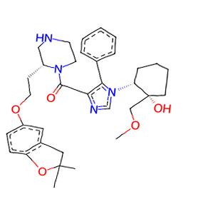 COC[C@]1(O)CCCC[C@H]1n1cnc(C(=O)N2CCNC[C@H]2CCOc2ccc3c(c2)CC(C)(C)O3)c1-c1ccccc1